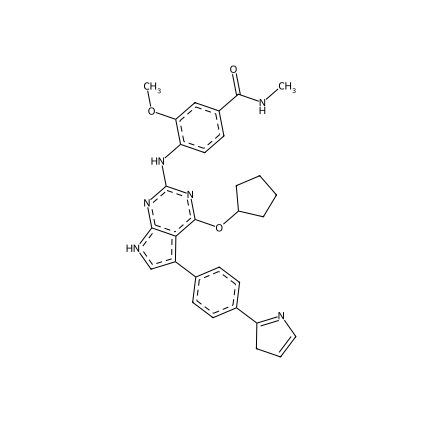 CNC(=O)c1ccc(Nc2nc(OC3CCCC3)c3c(-c4ccc(C5=NC=CC5)cc4)c[nH]c3n2)c(OC)c1